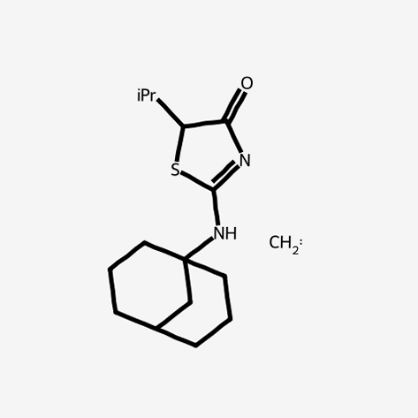 CC(C)C1SC(NC23CCCC(CCC2)C3)=NC1=O.[CH2]